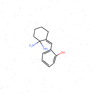 NC1(N)CCCCC1=Cc1ccccc1O